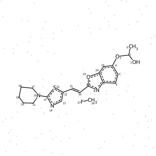 CC(O)Oc1ccc2nc(C=Cc3cnc(N4CCCCC4)s3)oc2c1.CF